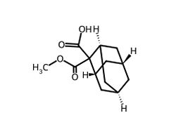 COC(=O)C1(C(=O)O)[C@H]2C[C@@H]3C[C@@H](C[C@H]1C3)C2